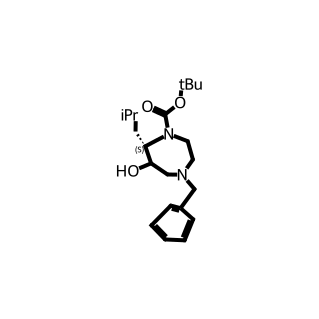 CC(C)C[C@H]1C(O)CN(Cc2ccccc2)CCN1C(=O)OC(C)(C)C